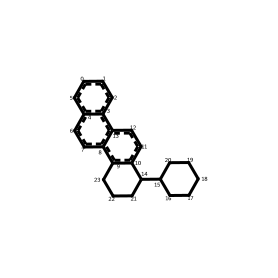 c1ccc2c(c1)ccc1c3c(ccc12)C(C1CCCCC1)CCC3